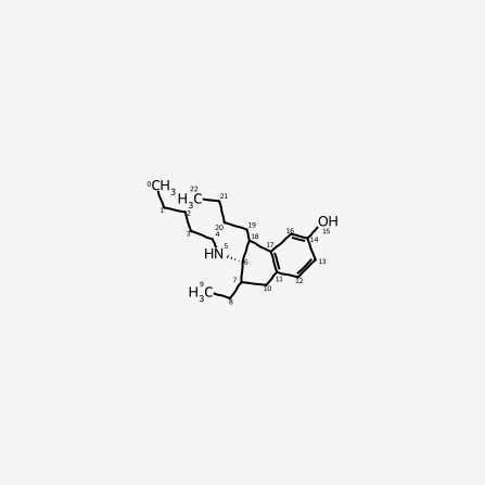 CCCCCN[C@H]1C(CC)Cc2ccc(O)cc2C1CCCC